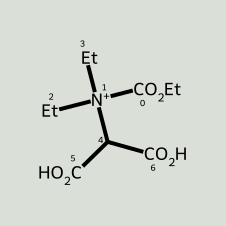 CCOC(=O)[N+](CC)(CC)C(C(=O)O)C(=O)O